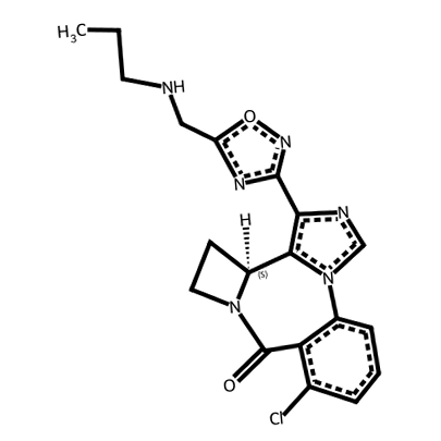 CCCNCc1nc(-c2ncn3c2[C@@H]2CCN2C(=O)c2c(Cl)cccc2-3)no1